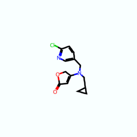 O=C1C=C(N(Cc2ccc(Cl)nc2)CC2CC2)CO1